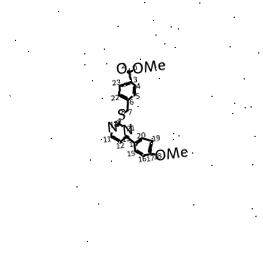 COC(=O)c1ccc(CSc2nccc(-c3ccc(OC)cc3)n2)cc1